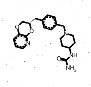 NC(=O)NC1CCN(Cc2ccc(C[C@H]3COc4cccnc4O3)cc2)CC1